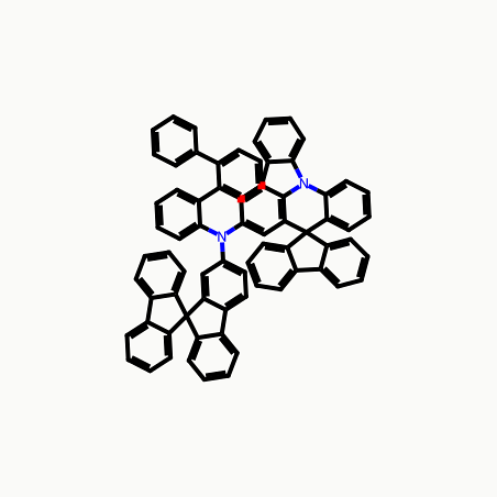 c1ccc(-c2ccccc2-c2ccccc2N(c2ccc3c(c2)C2(c4ccccc4-c4ccccc42)c2ccccc2-3)c2cc3c4c(c2)c2ccccc2n4-c2ccccc2C32c3ccccc3-c3ccccc32)cc1